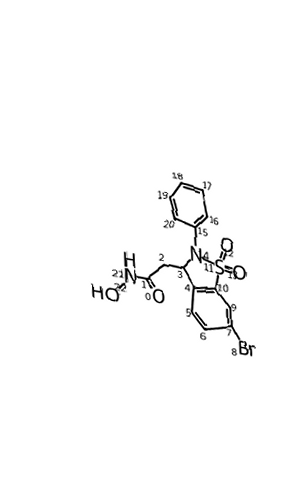 O=C(CC1c2ccc(Br)cc2S(=O)(=O)N1c1ccccc1)NO